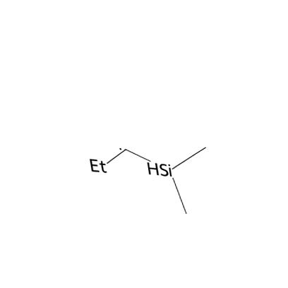 CC[CH][SiH](C)C